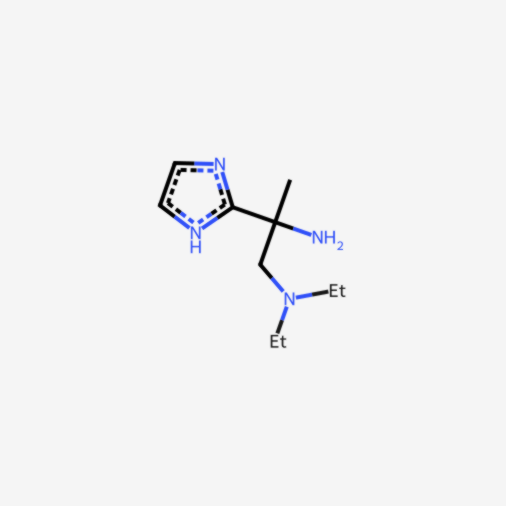 CCN(CC)CC(C)(N)c1ncc[nH]1